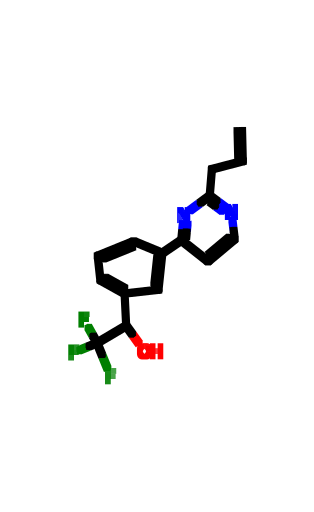 C=CCc1nccc(-c2cccc(C(O)C(F)(F)F)c2)n1